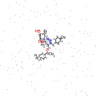 C=CC(/C=C\C)=C(/C)OCC1=CC(C)(c2cc(CC)c(O)cc2O)N=NN1Cc1ccc(C#N)cc1